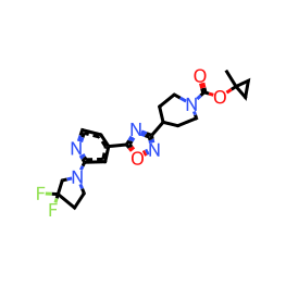 CC1(OC(=O)N2CCC(c3noc(-c4ccnc(N5CCC(F)(F)C5)c4)n3)CC2)CC1